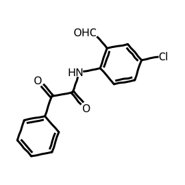 O=Cc1cc(Cl)ccc1NC(=O)C(=O)c1ccccc1